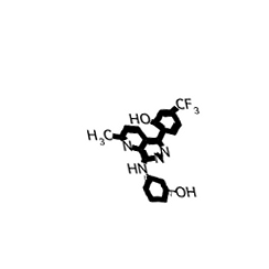 Cc1ccc2c(-c3ccc(C(F)(F)F)cc3O)nnc(N[C@H]3CCC[C@@H](O)C3)c2n1